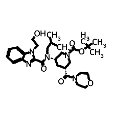 CC(C)CN(C(=O)c1nc2ccccc2n1CCO)[C@H]1C[C@@H](C(=O)N2CCOCC2)CN(C(=O)OC(C)(C)C)C1